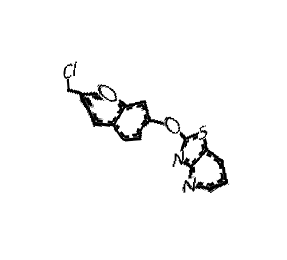 ClCc1cc2ccc(Oc3nc4ncccc4s3)cc2o1